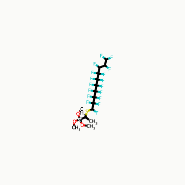 CO[Si](OC)(OC)C(C)SC(F)C(F)(F)C(F)(F)C(F)(F)C(F)(F)C(F)(F)C(F)(F)C(F)C(F)C(F)F